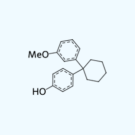 COc1cccc(C2(c3ccc(O)cc3)CCCCC2)c1